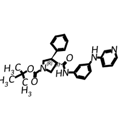 CC(C)(C)OC(=O)N1C[C@@H](C(=O)Nc2cccc(Nc3cccnc3)c2)[C@H](c2ccccc2)C1